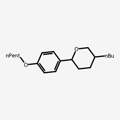 CCCCCOc1ccc(C2CCC(CCCC)CO2)cc1